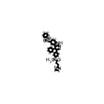 CN(C(=O)CCc1nccs1)c1ccc(-c2cnc3[nH]c4ccc(CS(=O)(=O)c5ccccc5)cc4c3c2-c2ccccc2)cc1